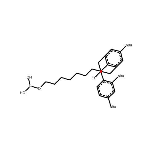 CCCCc1ccc(C(CCCCCCCOP(O)O)c2c3cc(CCCC)cc2CC(CC)C3)c(CCCC)c1